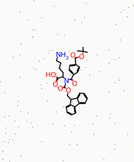 CC(C)(C)OC(=O)c1ccc(C(=O)N(C(=O)OCC2c3ccccc3-c3ccccc32)C(CCCCN)C(=O)O)cc1